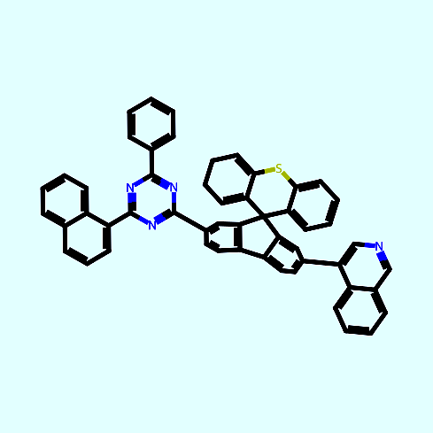 C1=C2Sc3ccccc3C3(C2=CCC1)c1cc(-c2nc(-c4ccccc4)nc(-c4cccc5ccccc45)n2)ccc1-c1ccc(-c2cncc4ccccc24)cc13